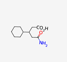 NC(=O)CC(CC(=O)O)C1CCCCC1